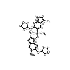 CC(C)(C)c1cc2ccn(CC(C)(C)c3cc4c(F)c[nH]c4nc3OC3CCOC3)c2nc1OC1CCOC1